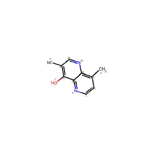 Cc1ccnc2c(O)c(C#N)cnc12